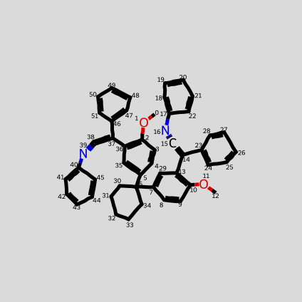 COc1ccc(C2(c3ccc(OC)c(C(=C=Nc4ccccc4)c4ccccc4)c3)CCCCC2)cc1C(=C=Nc1ccccc1)c1ccccc1